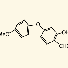 COc1ccc(Oc2ccc(C=O)c(O)c2)cc1